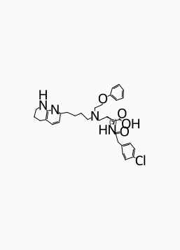 O=C(Cc1ccc(Cl)cc1)N[C@@H](CCN(CCCCc1ccc2c(n1)NCCC2)CCOc1ccccc1)C(=O)O